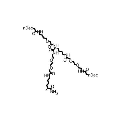 CCCCCCCCCCCC(=O)NCCCCOCC(=O)N[C@@H](CCCCNC(=O)COCCOCCNC(=O)CCCCCCCCCCC)C(=O)NCCOCCOCC(=O)NCCCC[C@H](C)C(N)=O